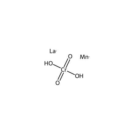 [La].[Mn].[O]=[Cr](=[O])([OH])[OH]